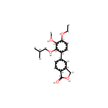 CCOc1ccc(-c2ccc3c(c2)COC3=O)c(OCC(C)C)c1OC